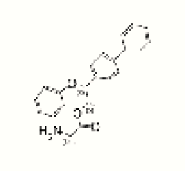 C[C@H](N)C(=O)O[C@@H](C)[C@H](Oc1ccccc1)c1ccc(-c2ccccc2)cc1